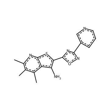 Cc1nc2sc(-c3nc(-c4cccnc4)no3)c(N)c2c(C)c1C